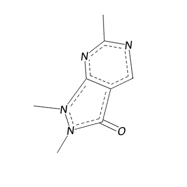 Cc1ncc2c(=O)n(C)n(C)c2n1